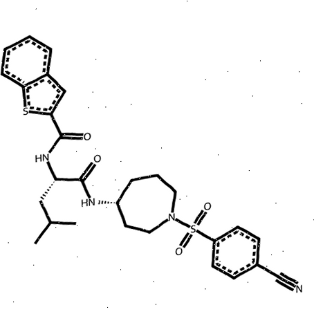 CC(C)C[C@H](NC(=O)c1cc2ccccc2s1)C(=O)N[C@@H]1CCCN(S(=O)(=O)c2ccc(C#N)cc2)CC1